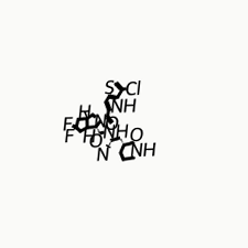 N#C[C@@H](C[C@H]1CCCNC1=O)NC(=O)[C@@H]1[C@@H]2CC(F)(F)C[C@@H]2CN1C(=O)c1cc2scc(Cl)c2[nH]1